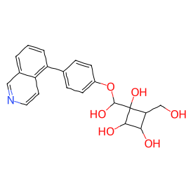 OCC1C(O)C(O)C1(O)C(O)Oc1ccc(-c2cccc3cnccc23)cc1